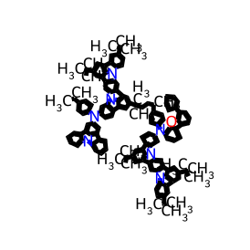 CC(C)c1ccc(N(c2cc3c4ccccc4n4c5ccccc5c(c2)c34)c2ccc3c4cc(C(C)(C)CCC(C)c5ccc(N(c6ccc7c8cc(C(C)(C)C)cc9c%10cc%11c(cc%10n(c7c6)c89)c6cc(C(C)(C)C)cc7c8cc(C(C)(C)C)ccc8n%11c76)c6cccc7c6oc6c(-c8ccccc8)cccc67)cc5)cc5c6cc7c(cc6n(c3c2)c45)c2cc(C(C)(C)C)cc3c4cc(C(C)(C)C)ccc4n7c32)cc1